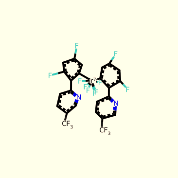 Fc1cc(F)c(-c2ccc(C(F)(F)F)cn2)[c]([Ir-7]([F])([F])([F])([F])([F])([F])[c]2cc(F)cc(F)c2-c2ccc(C(F)(F)F)cn2)c1